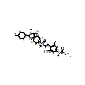 Cc1cc(N(C)C(N)=O)cc(Cl)c1/C=C/S(=O)(=O)N1CCC2(CC1)N=C(C1CCC(C)CC1)NC2=O